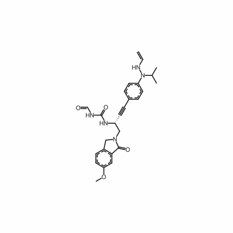 C=CNN(c1ccc(C#C[C@H](CN2Cc3ccc(OC)cc3C2=O)NC(=O)NC=O)cc1)C(C)C